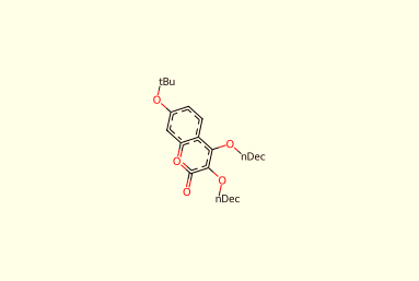 CCCCCCCCCCOc1c(OCCCCCCCCCC)c2ccc(OC(C)(C)C)cc2oc1=O